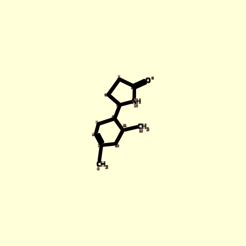 CC1=CCC(C2CCC(=O)N2)C(C)C1